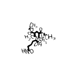 CCOC(=O)C1=C(C)N(C(CCCC([NH])=O)C(=O)O)C(C)=C(C(=O)OCC)C1